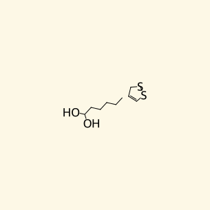 C1=CSSC1.CCCCCC(O)O